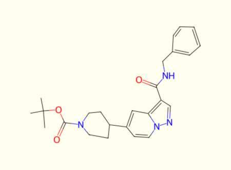 CC(C)(C)OC(=O)N1CCC(c2ccn3ncc(C(=O)NCc4ccccc4)c3c2)CC1